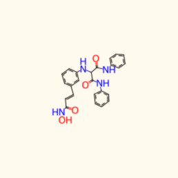 O=C(C=Cc1cccc(NC(C(=O)Nc2ccccc2)C(=O)Nc2ccccc2)c1)NO